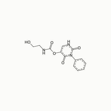 O=C(NCCO)Oc1c[nH]c(=O)n(-c2ccccc2)c1=O